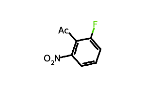 CC(=O)c1c(F)cccc1[N+](=O)[O-]